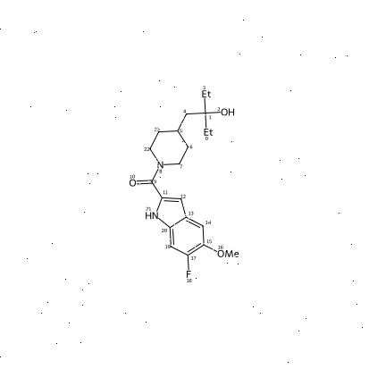 CCC(O)(CC)CC1CCN(C(=O)c2cc3cc(OC)c(F)cc3[nH]2)CC1